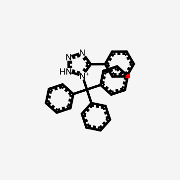 c1ccc(-c2nn[nH][n+]2C(c2ccccc2)(c2ccccc2)c2ccccc2)cc1